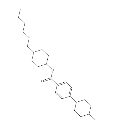 CCCCCCC1CCC(OC(=O)c2ccc(C3CCC(C)CC3)cc2)CC1